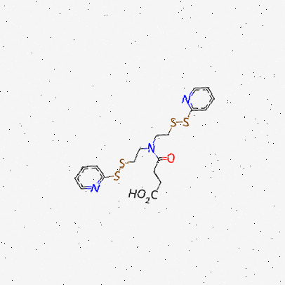 O=C(O)CCC(=O)N(CCSSc1ccccn1)CCSSc1ccccn1